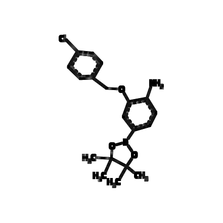 CC1(C)OB(c2ccc(N)c(OCc3ccc(Cl)cc3)c2)OC1(C)C